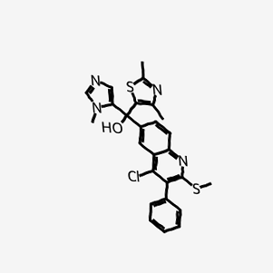 CSc1nc2ccc(C(O)(c3sc(C)nc3C)c3cncn3C)cc2c(Cl)c1-c1ccccc1